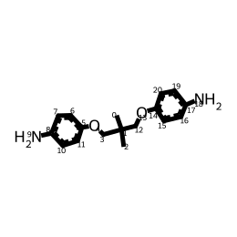 CC(C)(COc1ccc(N)cc1)COc1ccc(N)cc1